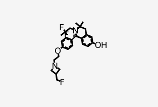 CC(F)(F)CN1[C@H](c2ccc(OCCN3CC(CF)C3)cc2)c2ccc(O)cc2CC1(C)C